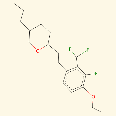 CCCC1CCC(CCc2ccc(OCC)c(F)c2C(F)F)OC1